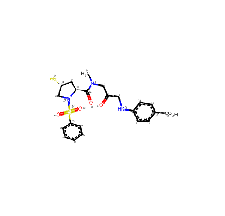 CN(CC(=O)CNc1ccc(C(=O)O)cc1)C(=O)[C@@H]1C[C@@H](S)CN1S(=O)(=O)c1ccccc1